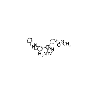 COC(=O)CN1CCC(c2cc(-c3ccc4cn(Cc5ccccc5)nc4c3)c3c(N)ncnn23)C1